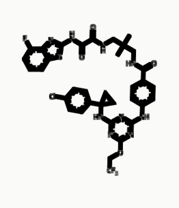 CC(C)(CNC(=O)C(=O)Nc1nc2c(F)cccc2s1)CNC(=O)c1ccc(Nc2nc(NC3(c4ccc(Cl)cc4)CC3)nc(OCC(F)(F)F)n2)cc1